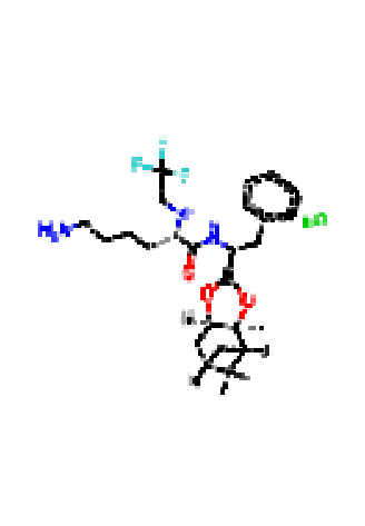 CC1(C)[C@@H]2C[C@H]3OB([C@H](Cc4ccccc4)NC(=O)[C@H](CCCCN)NCC(F)(F)F)O[C@@]3(C)[C@H]1C2.Cl